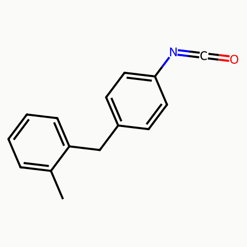 Cc1ccccc1Cc1ccc(N=C=O)cc1